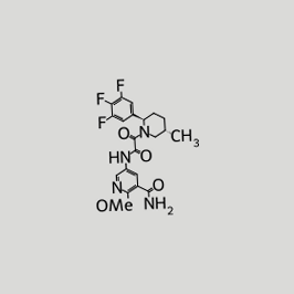 COc1ncc(NC(=O)C(=O)N2C[C@@H](C)CC[C@@H]2c2cc(F)c(F)c(F)c2)cc1C(N)=O